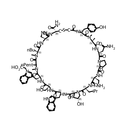 CCCCC[C@H]1C(=O)N(C)[C@@H](CCCC)C(=O)N[C@@H](CN)C(=O)N[C@H](C(N)=O)CSCC(=O)N[C@@H](Cc2ccc(O)cc2)C(=O)N(C)[C@@H](C)C(=O)N[C@@H](CC(N)=O)C(=O)N2CCC[C@H]2C(=O)N[C@@H](CN)C(=O)N[C@@H](CC(C)C)C(=O)N2C[C@H](O)C[C@H]2C(=O)N[C@@H](Cc2c[nH]c3ccccc23)C(=O)N[C@@H](CO)C(=O)N[C@@H](Cc2cn(CC(=O)O)c3ccccc23)C(=O)N1C